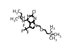 CC[C@@H](C)Nc1nc(Cl)nc2c1c(C(F)(F)F)cn2COCC[Si](C)(C)C